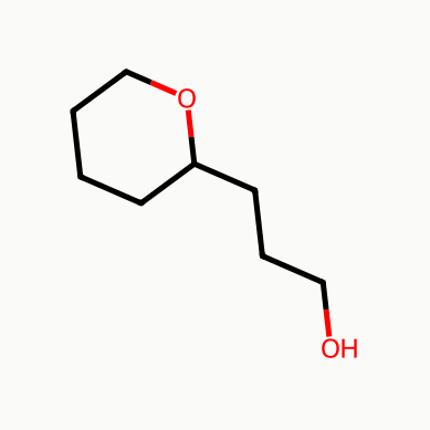 OCCCC1CCCCO1